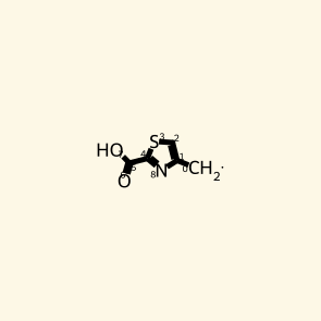 [CH2]c1csc(C(=O)O)n1